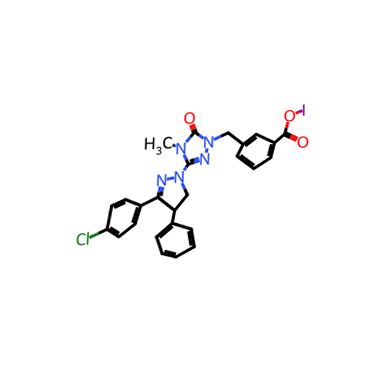 Cn1c(N2CC(c3ccccc3)C(c3ccc(Cl)cc3)=N2)nn(Cc2cccc(C(=O)OI)c2)c1=O